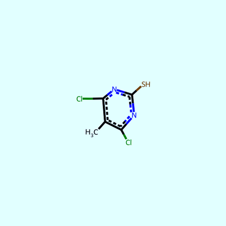 Cc1c(Cl)nc(S)nc1Cl